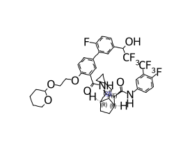 O=C(N[C@H]1[C@@H](C(=O)Nc2ccc(F)c(C(F)(F)F)c2)[C@H]2CC[C@@H]1/C2=C\C1CC1)c1cc(-c2cc(C(O)C(F)(F)F)ccc2F)ccc1OCCOC1CCCCO1